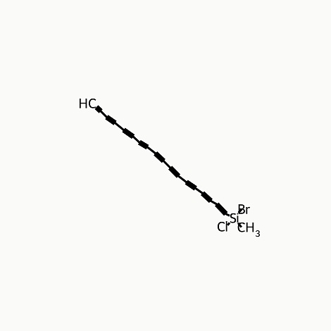 C#CC#CC#CC#CC#CC#CC#CC#CC#C[Si](C)(Cl)Br